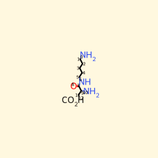 NCCCCCNC(=O)[C@@H](N)CC(=O)O